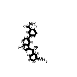 NC(=O)c1cccc(-c2cnc3[nH]cc(C(=O)c4cccc(N)c4)c3c2)c1